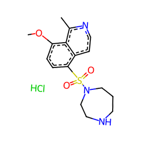 COc1ccc(S(=O)(=O)N2CCCNCC2)c2ccnc(C)c12.Cl